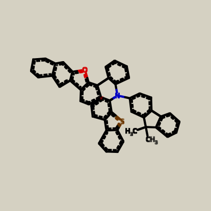 CC1(C)c2ccccc2-c2ccc(N(c3ccccc3-c3cccc4c3oc3cc5ccccc5cc34)c3cccc4c3sc3ccccc34)cc21